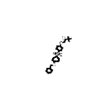 CC(C)(C)C(=O)COc1ccc(S(=O)(=O)c2ccc(OCc3ccccc3)cc2)cc1